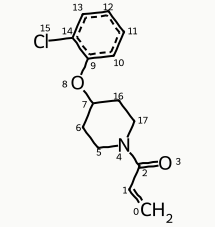 C=CC(=O)N1CCC(Oc2ccccc2Cl)CC1